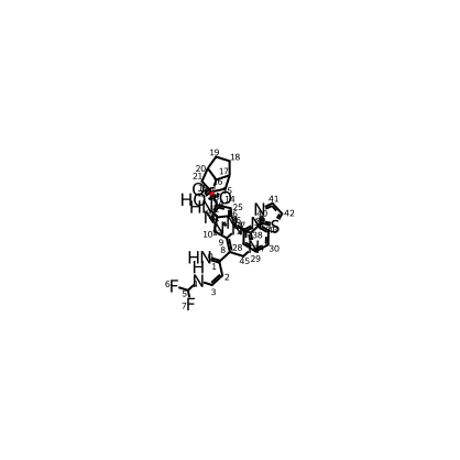 N=C(/C=C\NC(F)F)C1=C2CC(NS(=O)(=O)C3C4CCC3CC(O)(c3cn(-c5ccccn5)nn3)C4)CN2C(c2nccs2)=NC1